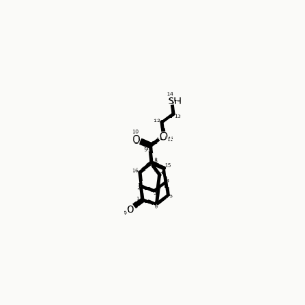 O=C1C2CC3CC1CC(C(=O)OCCS)(C3)C2